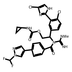 CNC(=N)N(C(=O)c1ccc(-c2cnn(C(F)F)c2)cc1)C(COC(=O)NC1CC1)c1ccc(Cl)c(-c2nc(Cl)c[nH]2)c1